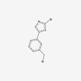 BrCc1cccc(-c2cnc(Br)s2)c1